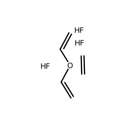 C=C.C=COC=C.F.F.F